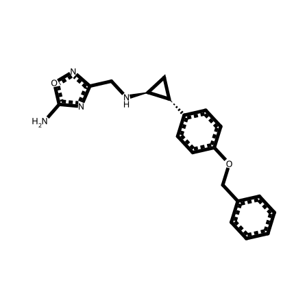 Nc1nc(CN[C@H]2C[C@@H]2c2ccc(OCc3ccccc3)cc2)no1